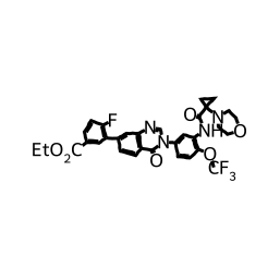 CCOC(=O)c1ccc(F)c(-c2ccc3c(=O)n(-c4ccc(OC(F)(F)F)c(NC(=O)C5(N6CCOCC6)CC5)c4)cnc3c2)c1